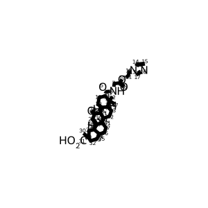 CC1(C)[C@@H](C(=O)NCC(=O)OCCn2ccnc2)CC[C@]2(C)[C@H]3C(=O)C=C4[C@@H]5C[C@@](C)(C(=O)O)CC[C@]5(C)CC[C@@]4(C)[C@]3(C)CC[C@@H]12